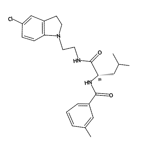 Cc1cccc(C(=O)N[C@@H](CC(C)C)C(=O)NCCN2CCc3cc(Cl)ccc32)c1